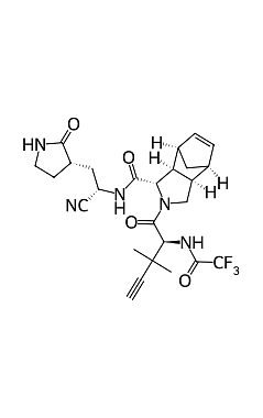 C#CC(C)(C)[C@H](NC(=O)C(F)(F)F)C(=O)N1C[C@H]2[C@@H]([C@H]1C(=O)N[C@H](C#N)C[C@@H]1CCNC1=O)[C@H]1C=C[C@@H]2C1